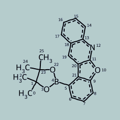 CC1(C)OB(c2cccc3oc4nc5ccccc5cc4c23)OC1(C)C